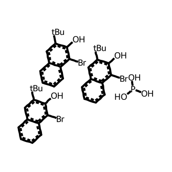 CC(C)(C)c1cc2ccccc2c(Br)c1O.CC(C)(C)c1cc2ccccc2c(Br)c1O.CC(C)(C)c1cc2ccccc2c(Br)c1O.OP(O)O